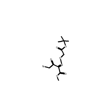 COC(=O)/C(=N/OCC(=O)OC(C)(C)C)C(=O)CBr